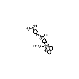 CCOC(=O)CN(c1ccc2c(C)c(CNc3ccc(C(=N)N)cc3)oc2c1)S(=O)(=O)c1cccc2c1NCCC2